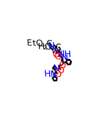 CCOC(=O)N1CCN(C(=O)[C@H](CC(=O)O)NC(=O)c2cc(OCC(=O)N3CC[C@H]3C(=O)NC3CCCC3)c3ccccc3n2)CC1